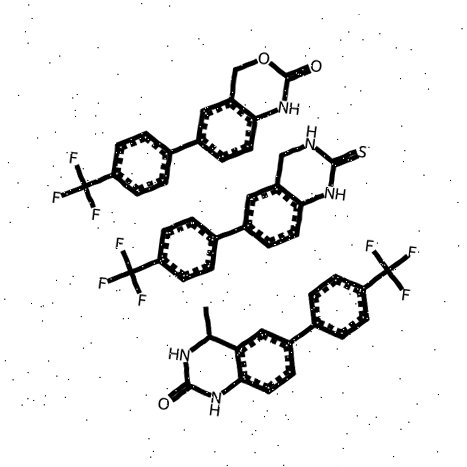 CC1NC(=O)Nc2ccc(-c3ccc(C(F)(F)F)cc3)cc21.FC(F)(F)c1ccc(-c2ccc3c(c2)CNC(=S)N3)cc1.O=C1Nc2ccc(-c3ccc(C(F)(F)F)cc3)cc2CO1